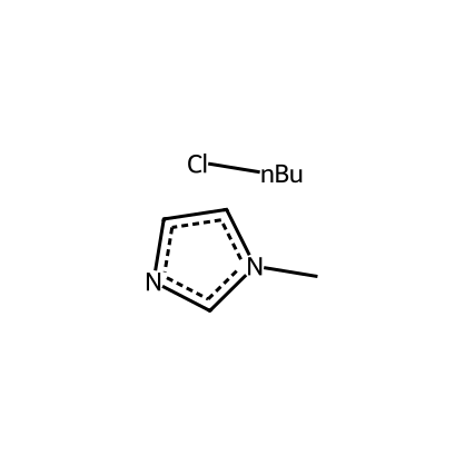 CCCCCl.Cn1ccnc1